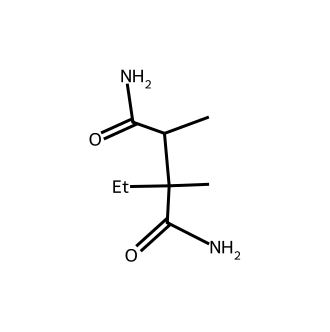 CCC(C)(C(N)=O)C(C)C(N)=O